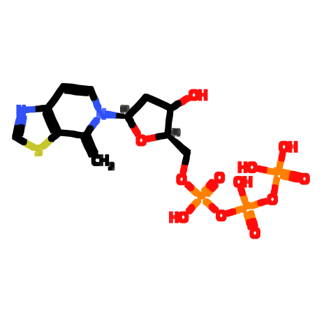 C=C1c2scnc2C=CN1[C@H]1CC(O)[C@@H](COP(=O)(O)OP(=O)(O)OP(=O)(O)O)O1